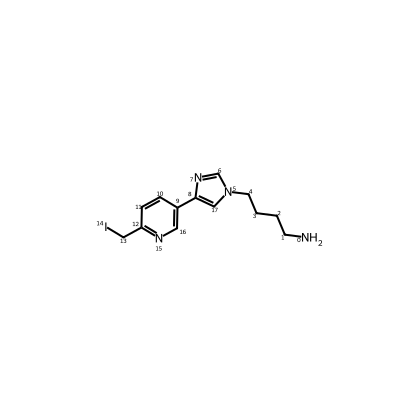 NCCCCn1cnc(-c2ccc(CI)nc2)c1